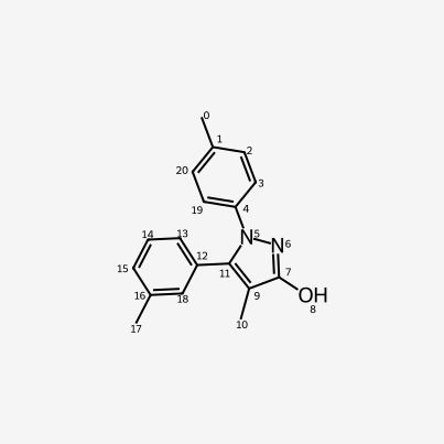 Cc1ccc(-n2nc(O)c(C)c2-c2cccc(C)c2)cc1